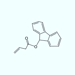 C=CCC(=O)OC1c2ccccc2-c2ccccc21